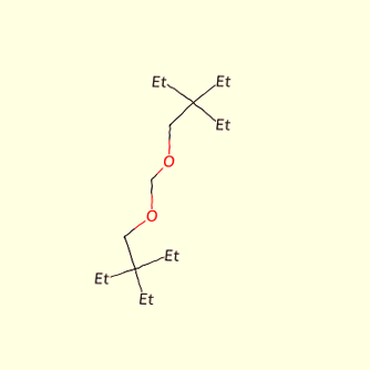 CCC(CC)(CC)COCOCC(CC)(CC)CC